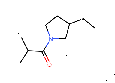 CCC1CCN(C(=O)C(C)C)C1